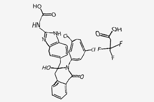 O=C(O)C(F)(F)F.O=C(O)Nc1nc2cc(C3(O)c4ccccc4C(=O)N3c3cc(Cl)cc(Cl)c3)ccc2[nH]1